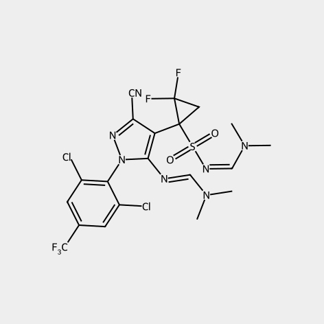 CN(C)C=Nc1c(C2(S(=O)(=O)N=CN(C)C)CC2(F)F)c(C#N)nn1-c1c(Cl)cc(C(F)(F)F)cc1Cl